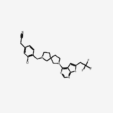 N#CCc1ccc(CN2CCC3(CCN(c4ncnc5sc(CC(F)(F)F)cc45)C3)C2)c(Cl)c1